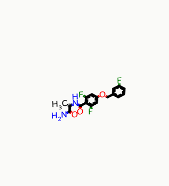 C[C@H](NC(=O)c1c(F)cc(OCc2cccc(F)c2)cc1F)C(N)=O